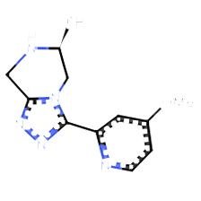 COc1ccnc(-c2nnc3n2C[C@H](C)NC3)c1